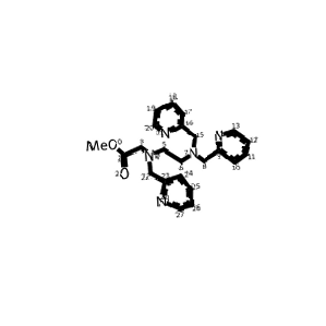 COC(=O)CN(CCN(Cc1ccccn1)Cc1ccccn1)Cc1ccccn1